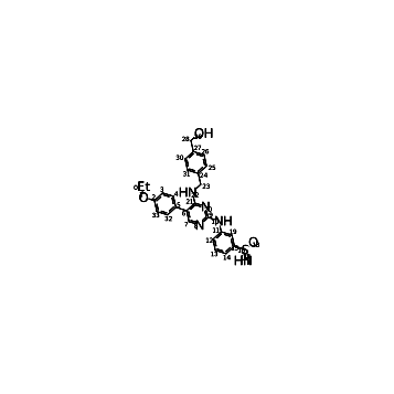 CCOc1ccc(-c2cnc(Nc3cccc([SH](=N)=O)c3)nc2NCc2ccc(CO)cc2)cc1